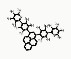 [2H]c1nc(-c2c([2H])c([2H])c(-c3cc(-c4c([2H])c([2H])c(-c5nc([2H])c([2H])c([2H])c5[2H])c([2H])c4[2H])c4ccc5cccc6ccc3c4c65)c([2H])c2[2H])c([2H])c([2H])c1[2H]